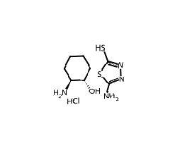 Cl.N[C@H]1CCCC[C@@H]1O.Nc1nnc(S)s1